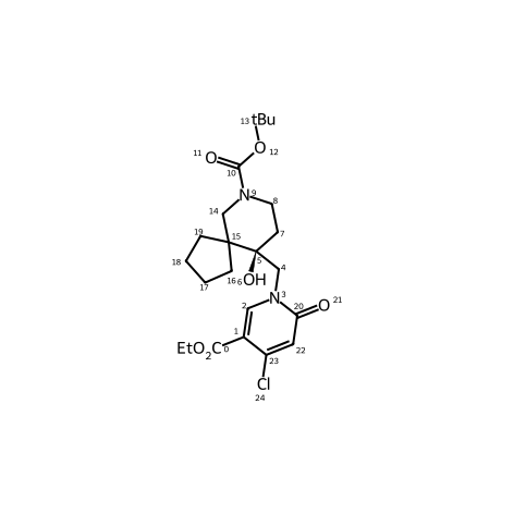 CCOC(=O)c1cn(C[C@@]2(O)CCN(C(=O)OC(C)(C)C)CC23CCCC3)c(=O)cc1Cl